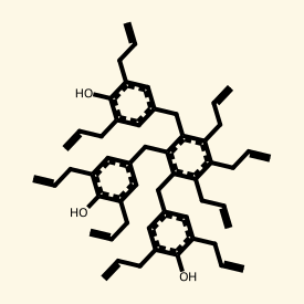 C=CCc1cc(Cc2c(CC=C)c(CC=C)c(CC=C)c(Cc3cc(CC=C)c(O)c(CC=C)c3)c2Cc2cc(CC=C)c(O)c(CC=C)c2)cc(CC=C)c1O